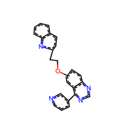 c1cncc(-c2ncnc3ccc(OCCc4ccc5ccccc5n4)cc23)c1